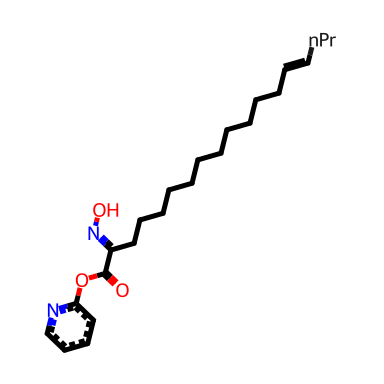 CCCC=CCCCCCCCCCCCC(=NO)C(=O)Oc1ccccn1